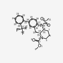 COC(=O)N1CCC[C@H](NS(C)(=O)=O)[C@@H]1Cc1cccc(-c2ccccc2C(F)(F)F)c1